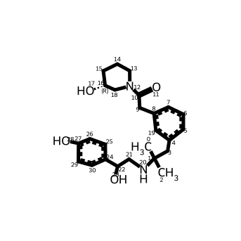 CC(C)(Cc1cccc(CC(=O)N2CCC[C@@H](O)C2)c1)NCC(O)c1ccc(O)cc1